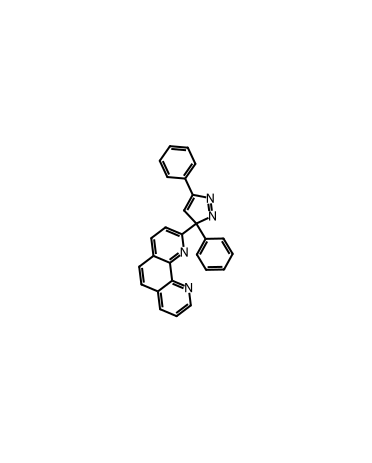 C1=C(c2ccccc2)N=NC1(c1ccccc1)c1ccc2ccc3cccnc3c2n1